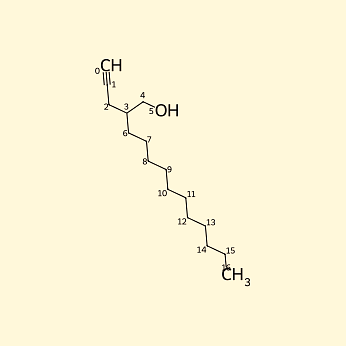 C#CCC(CO)CCCCCCCCCCC